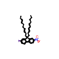 CCCCCCCCCCC1(CCCCCCCCCC)c2cc(I)ccc2-c2ccc([N+](=O)[O-])cc21